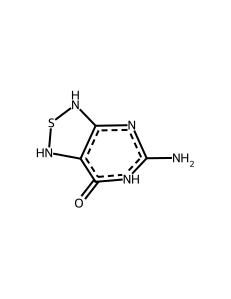 Nc1nc2c(c(=O)[nH]1)NSN2